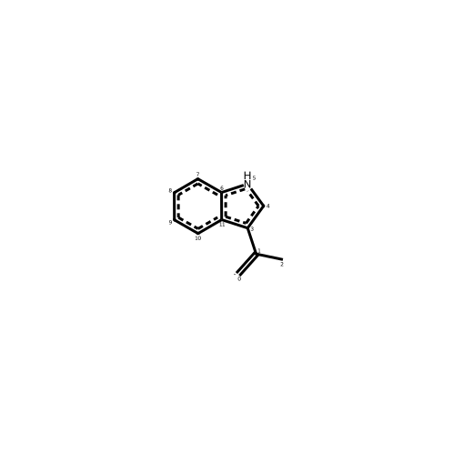 [CH]=C(C)c1c[nH]c2ccccc12